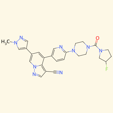 Cn1cc(-c2cc(-c3ccc(N4CCN(C(=O)N5CCC(F)C5)CC4)nc3)c3c(C#N)cnn3c2)cn1